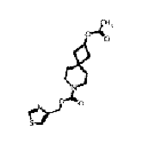 CC(=O)OC1CC2(CCN(C(=O)OCc3cscn3)CC2)C1